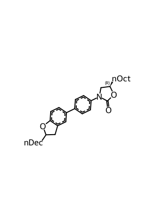 CCCCCCCCCCC1Cc2cc(-c3ccc(N4C[C@@H](CCCCCCCC)OC4=O)cc3)ccc2O1